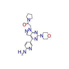 Nc1ccc(-c2nc(N3CCOCC3)nc3c2cnn3CC(=O)N2CCCC2)cn1